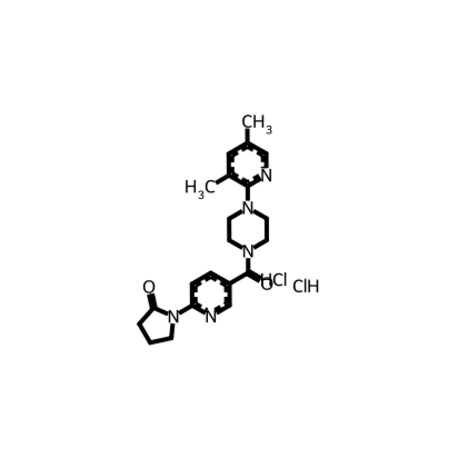 Cc1cnc(N2CCN(C(=O)c3ccc(N4CCCC4=O)nc3)CC2)c(C)c1.Cl.Cl